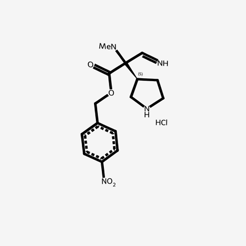 CNC(C=N)(C(=O)OCc1ccc([N+](=O)[O-])cc1)[C@H]1CCNC1.Cl